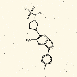 Cc1cc2c(cnn2-c2ccc(F)cc2)cc1N1CC[C@H](N(C)S(C)(=O)=O)C1